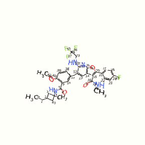 CCC1CC(C)(NC(=O)c2cc(-c3cc4c(C(=O)NC)c(-c5ccc(F)cc5)oc4nc3NCC(F)(F)F)ccc2OC)C1